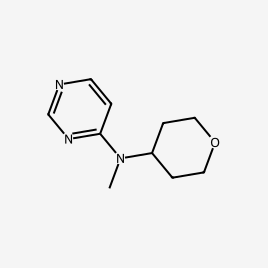 CN(c1ccncn1)C1CCOCC1